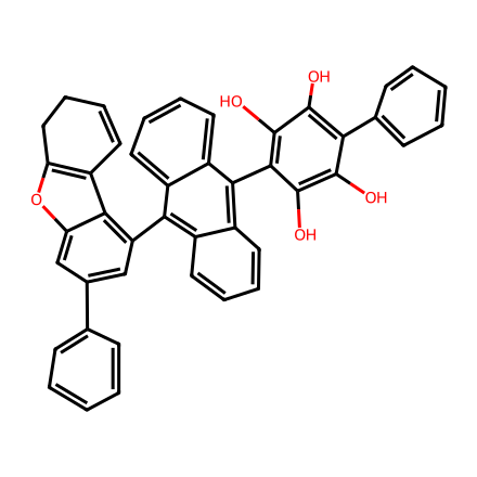 Oc1c(O)c(-c2c3ccccc3c(-c3cc(-c4ccccc4)cc4oc5c(c34)C=CCC5)c3ccccc23)c(O)c(O)c1-c1ccccc1